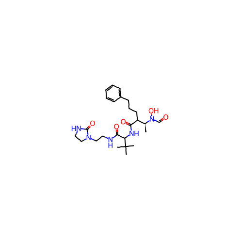 C[C@@H](C(CCCc1ccccc1)C(=O)NC(C(=O)NCCN1CCNC1=O)C(C)(C)C)N(O)C=O